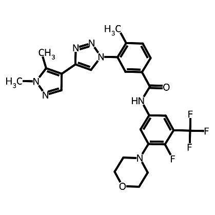 Cc1ccc(C(=O)Nc2cc(N3CCOCC3)c(F)c(C(F)(F)F)c2)cc1-n1cc(-c2cnn(C)c2C)nn1